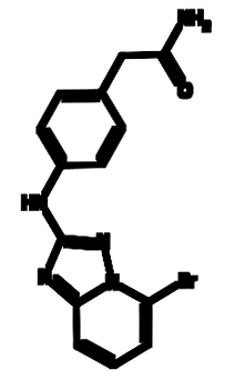 NC(=O)Cc1ccc(Nc2nc3cccc(Br)n3n2)cc1